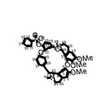 COc1cc2c3cc1Oc1c(OC)c(OC)cc4c1C(Cc1ccc(OS(=O)(=O)c5ccccc5)c(c1)Oc1ccc(cc1)CC3N(C)CC2)N(C)CC4